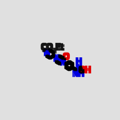 CCOC(=O)CN1CCC(N2CCN(c3ccc(C(=N)NO)cc3)C(=O)C2)CC1